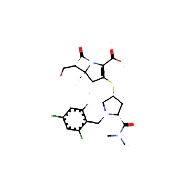 C[C@@H](O)[C@H]1C(=O)N2C(C(=O)O)=C(S[C@H]3C[C@@H](C(=O)N(C)C)N(Cc4c(Cl)cc(Cl)cc4Cl)C3)[C@H](C)[C@H]12